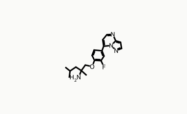 CC(C)CC(C)(N)COc1ccc(-c2ccnc3ccnn23)cc1F